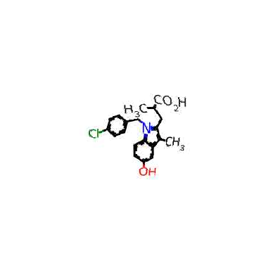 Cc1c(CC(C)C(=O)O)n(Cc2ccc(Cl)cc2)c2ccc(O)cc12